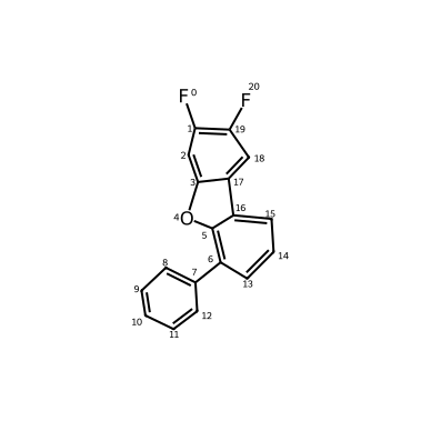 Fc1cc2oc3c(-c4ccccc4)cccc3c2cc1F